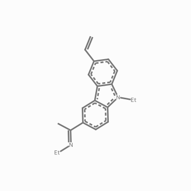 C=Cc1ccc2c(c1)c1cc(/C(C)=N/CC)ccc1n2CC